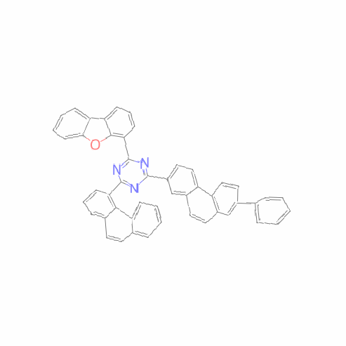 c1ccc(-c2ccc3c(ccc4cc(-c5nc(-c6cccc7c6oc6ccccc67)nc(-c6cccc7ccc8ccccc8c67)n5)ccc43)c2)cc1